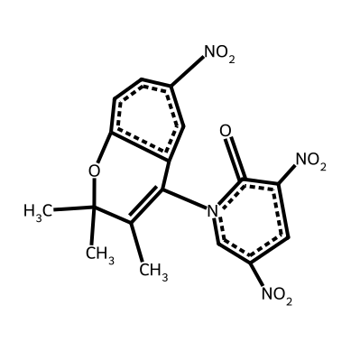 CC1=C(n2cc([N+](=O)[O-])cc([N+](=O)[O-])c2=O)c2cc([N+](=O)[O-])ccc2OC1(C)C